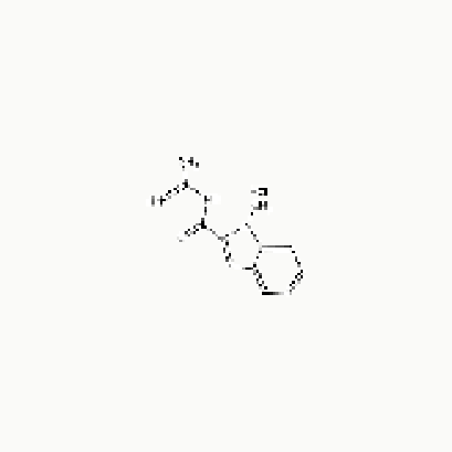 Cl.Cn1c(C(=O)NC(=N)N)cc2ccccc21